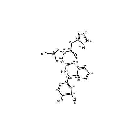 CC(C)c1ccc([C@H](NC(=O)[C@@H]2C[C@@H](F)CN2C(=O)Cc2cnn[nH]2)c2ccccc2)cc1Cl